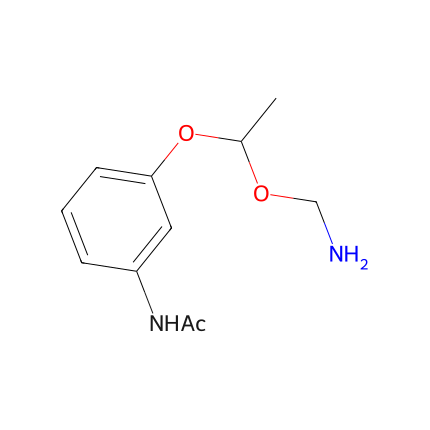 CC(=O)Nc1cccc(OC(C)OCN)c1